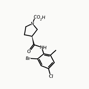 Cc1cc(Cl)cc(Br)c1NC(=O)[C@H]1CCN(C(=O)O)C1